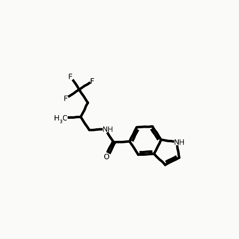 CC(CNC(=O)c1ccc2[nH]ccc2c1)CC(F)(F)F